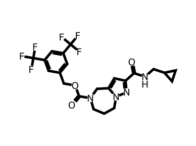 O=C(NCC1CC1)c1cc2n(n1)CCCN(C(=O)OCc1cc(C(F)(F)F)cc(C(F)(F)F)c1)C2